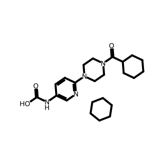 C1CCCCC1.O=C(O)Nc1ccc(N2CCN(C(=O)C3CCCCC3)CC2)nc1